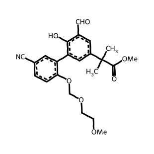 COCCOCOc1ccc(C#N)cc1-c1cc(C(C)(C)C(=O)OC)cc(C=O)c1O